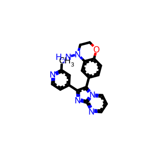 Cc1cc(-c2nc3ncccn3c2-c2ccc3c(c2)N(N)CCO3)ccn1